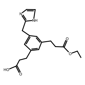 CCOC(=O)CCc1cc(CCC(=O)O)cc(Cc2ncc[nH]2)c1